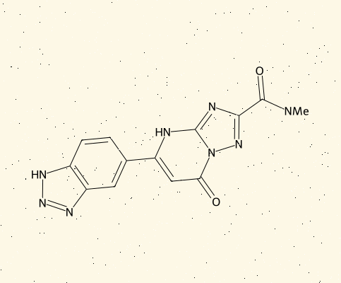 CNC(=O)c1nc2[nH]c(-c3ccc4[nH]nnc4c3)cc(=O)n2n1